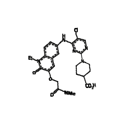 CCn1c(=O)c(OCC(=O)NC)cc2cc(Nc3nc(N4CCC(C(=O)O)CC4)ncc3Cl)ccc21